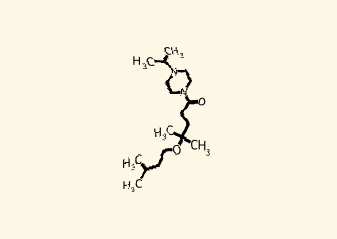 CC(C)CCOC(C)(C)CCC(=O)N1CCN(C(C)C)CC1